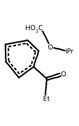 CC(C)OC(=O)O.CCC(=O)c1ccccc1